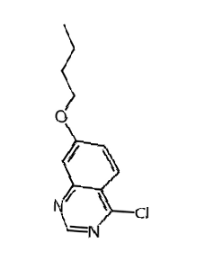 CCCCOc1ccc2c(Cl)ncnc2c1